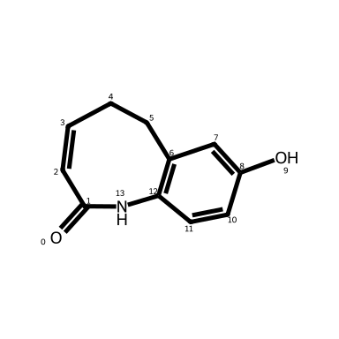 O=C1/C=C\CCc2cc(O)ccc2N1